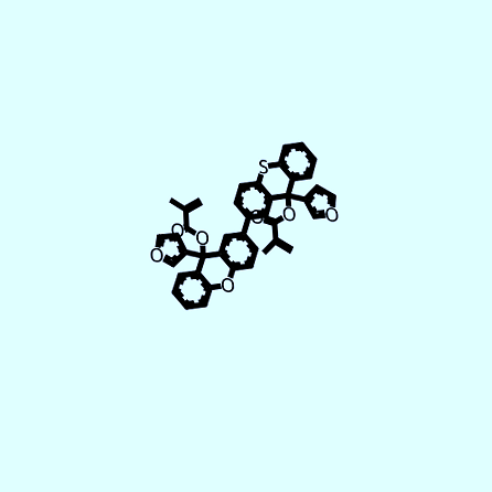 C=C(C)C(=O)OC1(c2ccoc2)c2ccccc2Oc2ccc(-c3ccc4c(c3)C(OC(=O)C(=C)C)(c3ccoc3)c3ccccc3S4)cc21